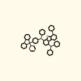 C1=CCC(C2(c3ccc(N(c4ccccc4)c4ccc(C(c5ccccc5)c5ccccc5)c5c4oc4c(-c6ccccc6)cccc45)cc3)c3ccccc3-c3ccccc32)C=C1